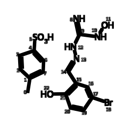 Cc1ccc(S(=O)(=O)O)cc1.N=C(NO)NN=Cc1cc(Br)ccc1O